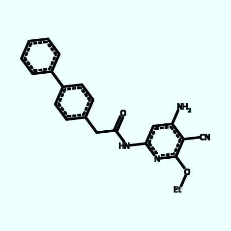 CCOc1nc(NC(=O)Cc2ccc(-c3ccccc3)cc2)cc(N)c1C#N